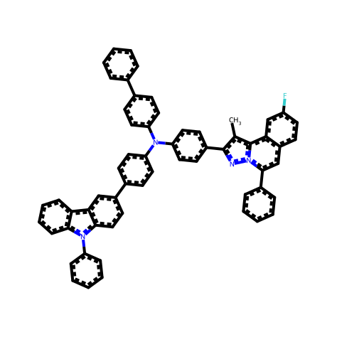 Cc1c(-c2ccc(N(c3ccc(-c4ccccc4)cc3)c3ccc(-c4ccc5c(c4)c4ccccc4n5-c4ccccc4)cc3)cc2)nn2c(-c3ccccc3)cc3ccc(F)cc3c12